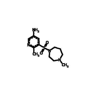 Cc1ncc(N)cc1S(=O)(=O)N1CCCN(C)CC1